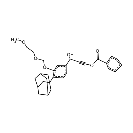 COCCOCOc1cc(C(O)C#COC(=O)c2ccccc2)ccc1C12CC3CC(CC(C3)C1)C2